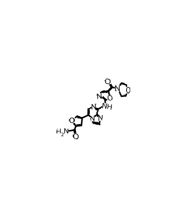 NC(=O)c1cc(-c2cnc(Nc3ncc(C(=O)N4CCOCC4)o3)c3nccn23)co1